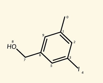 Cc1cc(I)cc(CO)c1